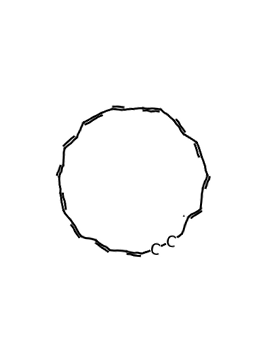 [C]1=C/C=C\C=C/C=C/C=C\C=C\C=C\C=C\C=C\C=C\C=C/C=C/C=C/CCC/1